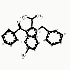 CC(C)c1c(C(=O)c2ccccc2)c2cc(O)ccc2n1Cc1ccccc1